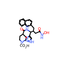 O=C(CC(Cc1ccc2ccccc2c1)C(NC(=O)C1CCN(C(=O)O)CC1)c1c[nH]nn1)NO